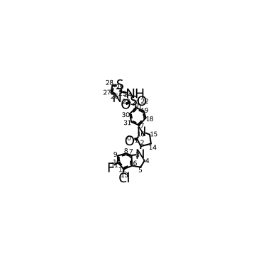 O=C1C(N2CCc3c2ccc(F)c3Cl)CCN1c1ccc(S(=O)(=O)Nc2nccs2)cc1